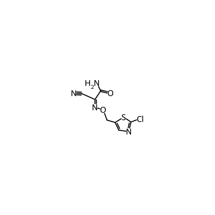 N#CC(=NOCc1cnc(Cl)s1)C(N)=O